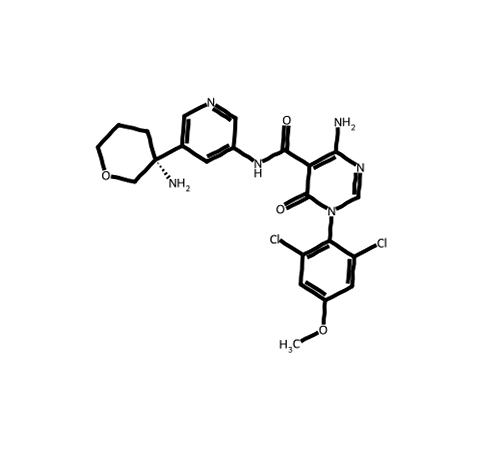 COc1cc(Cl)c(-n2cnc(N)c(C(=O)Nc3cncc([C@]4(N)CCCOC4)c3)c2=O)c(Cl)c1